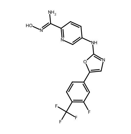 N/C(=N\O)c1ccc(Nc2ncc(-c3ccc(C(F)(F)F)c(F)c3)o2)cn1